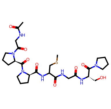 CSCC(NC(=O)[C@H]1CCCN1C(=O)[C@H]1CCCN1C(=O)CNC(C)=O)C(=O)NCC(=O)N[C@@H](CO)C(=O)N1CCCC1